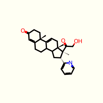 C[C@]12CCC(=O)C=C1CCC1C2=CC[C@@]2(C)C1C[C@@H](c1ccccn1)[C@]2(C)C(=O)CO